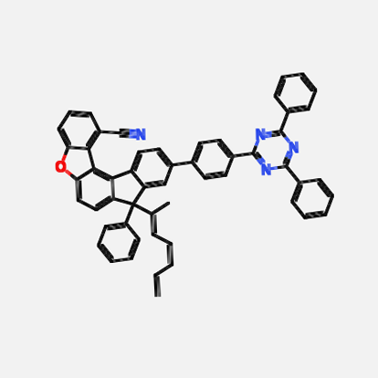 C=C/C=C\C=C(/C)C1(c2ccccc2)c2cc(-c3ccc(-c4nc(-c5ccccc5)nc(-c5ccccc5)n4)cc3)ccc2-c2c1ccc1oc3cccc(C#N)c3c21